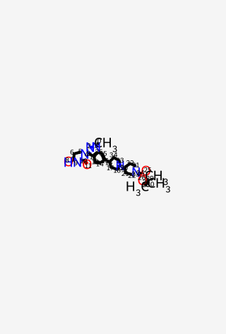 Cn1nc(N2CCC(=O)NC2=O)c2ccc(C3CCN(C4CCN(C(=O)OC(C)(C)C)CC4)CC3)cc21